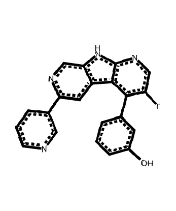 Oc1cccc(-c2c(F)cnc3[nH]c4cnc(-c5cccnc5)cc4c23)c1